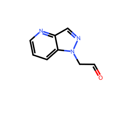 O=CCn1ncc2ncccc21